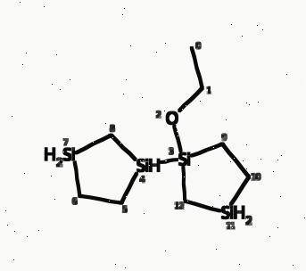 CCO[Si]1([SiH]2CC[SiH2]C2)CC[SiH2]C1